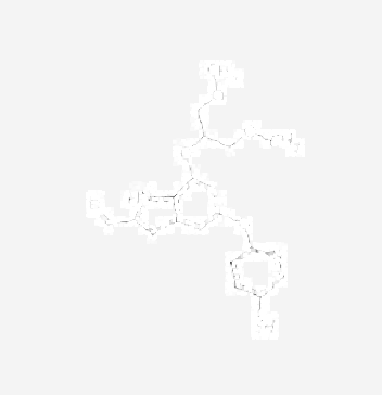 COCC(COC)Oc1cc(Oc2ccc(S)cn2)cc2cc(C=O)[nH]c12